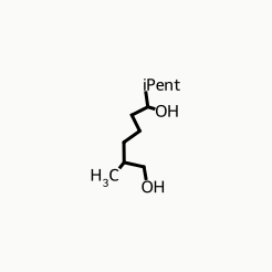 CCCC(C)C(O)CCCC(C)CO